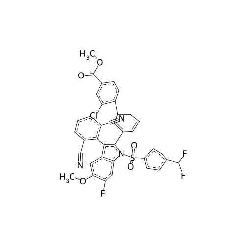 COC(=O)c1ccc(C2C=C(c3c(-c4c(C#N)cccc4C#N)c4cc(OC)c(F)cc4n3S(=O)(=O)c3ccc(C(F)F)cc3)C=CC2)c(Cl)c1